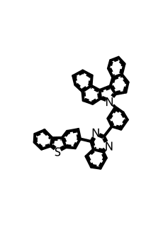 c1cc(-c2nc(-c3ccc4c(c3)sc3ccccc34)c3ccccc3n2)cc(-n2c3ccc4ccccc4c3c3c4ccccc4ccc32)c1